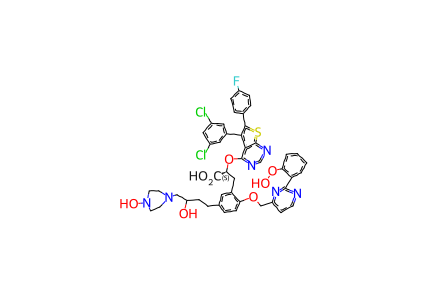 O=C(O)[C@H](Cc1cc(CCC(O)CN2CCN(O)CC2)ccc1OCc1ccnc(-c2ccccc2OO)n1)Oc1ncnc2sc(-c3ccc(F)cc3)c(-c3cc(Cl)cc(Cl)c3)c12